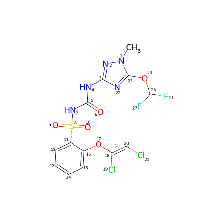 Cn1nc(NC(=O)NS(=O)(=O)c2ccccc2O/C(Cl)=C/Cl)nc1OC(F)F